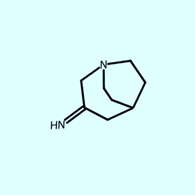 N=C1CC2CCN(CC2)C1